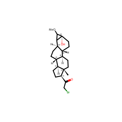 COC1C2[C@@H]3CC[C@@H]4[C@H](CC[C@]5(C)[C@@H](C(=O)CBr)CC[C@@H]45)[C@H]3CC[C@]12O